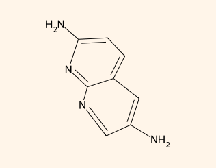 Nc1cnc2nc(N)ccc2c1